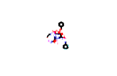 C/C1=N/OCC[C@H](C)N2C[C@H](C1=O)n1cc(C(=O)NCc3ccc(F)cc3F)c(=O)c(OCc3ccccc3)c1C2=O